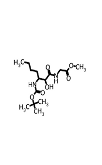 CCCCC(NC(=O)OC(C)(C)C)C(O)C(=O)NCC(=O)OC